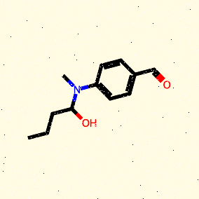 CCCC(O)N(C)c1ccc(C=O)cc1